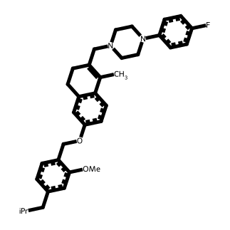 COc1cc(CC(C)C)ccc1COc1ccc2c(c1)CCC(CN1CCN(c3ccc(F)cc3)CC1)=C2C